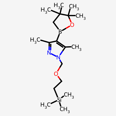 Cc1nn(COCC[Si](C)(C)C)c(C)c1B1CC(C)(C)C(C)(C)O1